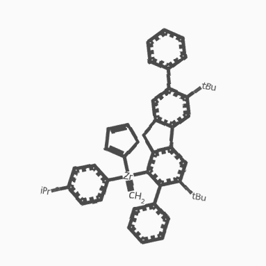 [CH2]=[Zr]([C]1=CC=CC1)([c]1ccc(C(C)C)cc1)[c]1c2c(cc(C(C)(C)C)c1-c1ccccc1)-c1cc(C(C)(C)C)c(-c3ccccc3)cc1C2